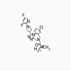 CN(C)C(=O)CN1Cc2cc(Cl)ccc2-n2c(nnc2C2CCN(c3ncc(F)cc3F)CC2)C1